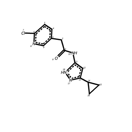 O=C(Cc1ccc(Cl)nc1)Nc1cc(C2CC2)n[nH]1